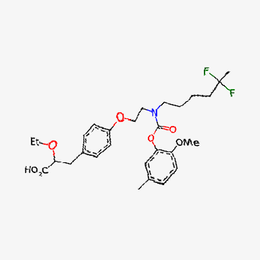 CCOC(Cc1ccc(OCCN(CCCCC(C)(F)F)C(=O)Oc2cc(C)ccc2OC)cc1)C(=O)O